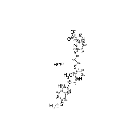 CSc1ccc2[nH]c(SCc3nccc(SCCCSc4ccc5ncc([N+](=O)[O-])n5n4)c3C)nc2c1.Cl